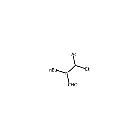 CCCCN(C=O)C(CC)C(C)=O